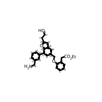 CCOC(=O)Cc1ccccc1OCc1cc(-c2cccc(CN)c2)c2oc(CCO)cc2c1